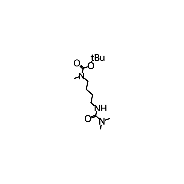 CN(C)C(=O)NCCCCN(C)C(=O)OC(C)(C)C